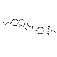 CS(=O)(=O)c1ccc(COc2ccc3c(c2)CCC2(CCN(C4CCC4)CC2)O3)cc1